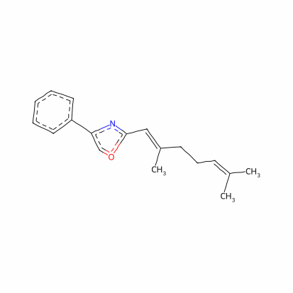 CC(C)=CCC/C(C)=C/c1nc(-c2ccccc2)co1